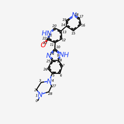 CN1CCN(c2ccc3[nH]c(-c4cc(-c5cccnc5)c[nH]c4=O)nc3c2)CC1